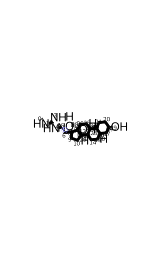 CNC(=N)N/N=C/[C@@]1(O)CC[C@]2(O)[C@@H]3CC[C@@H]4C[C@@H](O)CC[C@]4(C)[C@H]3CC[C@]12C